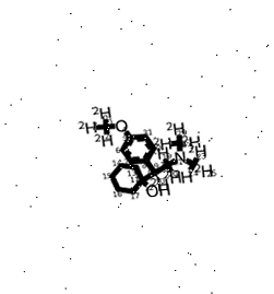 [2H]C([2H])([2H])Oc1ccc([C@]([2H])(C2(O)CCCCC2)C([2H])([2H])N(C([2H])([2H])[2H])C([2H])([2H])[2H])cc1